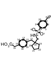 CC(C)c1ccc(S(=O)(=O)NCC2(Cc3ccc(CC(=O)O)cc3)CCCC2)cc1